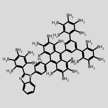 Bc1c(B)c(B)c(-c2cc(-c3c(B)c(B)c(B)c(B)c3B)cc(-c3c4c(B)c(B)c(B)c(B)c4c(-c4ccc(-n5c(-c6c(B)c(B)c(B)c(B)c6B)nc6ccccc65)cc4)c4c(B)c(B)c(B)c(B)c34)c2)c(B)c1B